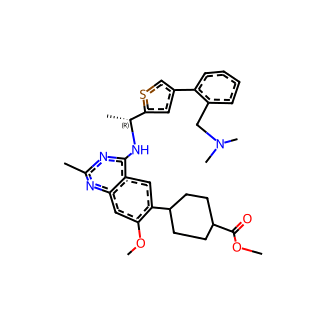 COC(=O)C1CCC(c2cc3c(N[C@H](C)c4cc(-c5ccccc5CN(C)C)cs4)nc(C)nc3cc2OC)CC1